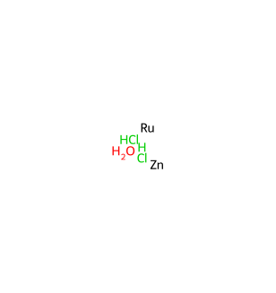 Cl.Cl.O.[Ru].[Zn]